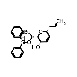 C=CC[C@@H]1C=C[C@H](O)[C@H](C(O[SiH](c2ccccc2)c2ccccc2)C(C)(C)C)O1